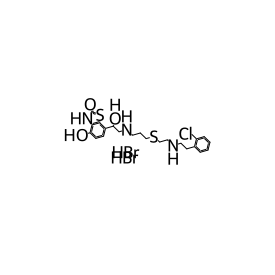 Br.Br.O=c1[nH]c2c(O)ccc([C@@H](O)CNCCCSCCNCCc3ccccc3Cl)c2s1